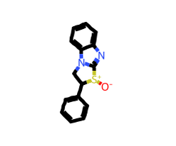 [O-][S+]1c2nc3ccccc3n2CC1c1ccccc1